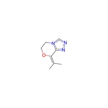 CC(C)=C1OCCn2cnnc21